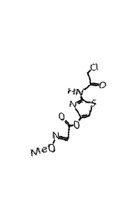 CON=CC(=O)Oc1csc(NC(=O)CCl)n1